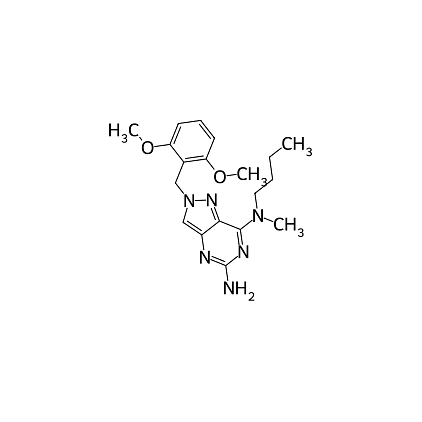 CCCCN(C)c1nc(N)nc2cn(Cc3c(OC)cccc3OC)nc12